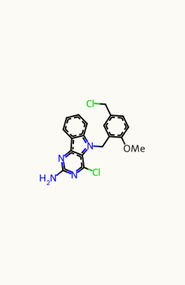 COc1ccc(CCl)cc1Cn1c2ccccc2c2nc(N)nc(Cl)c21